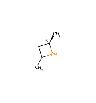 CC1C[C@@H](C)P1